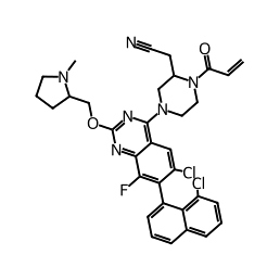 C=CC(=O)N1CCN(c2nc(OCC3CCCN3C)nc3c(F)c(-c4cccc5cccc(Cl)c45)c(Cl)cc23)CC1CC#N